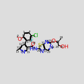 COc1ccc(Cl)c(F)c1-c1cc(C)ncc1C(=O)Nc1nc2cnc(O[C@@H](C)CO)nc2s1